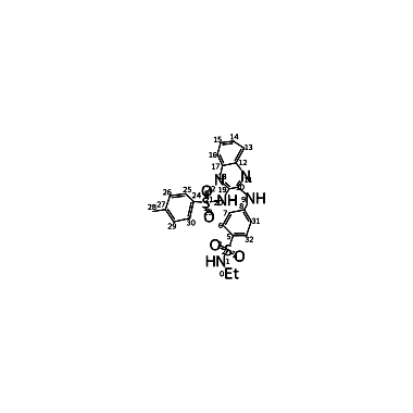 CCNS(=O)(=O)c1ccc(Nc2nc3ccccc3nc2NS(=O)(=O)c2ccc(C)cc2)cc1